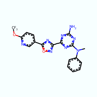 CN(c1ccccc1)c1nc(N)nc(-c2noc(-c3ccc(OC(F)(F)F)nc3)n2)n1